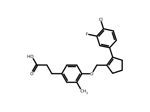 Cc1cc(CCC(=O)O)ccc1OCC1=C(c2ccc(Cl)c(F)c2)CCC1